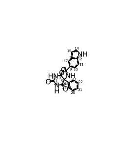 O=C1NC(=O)C(NC(=O)c2ccc3[nH]ccc3c2)(c2ccccc2)C(=O)N1